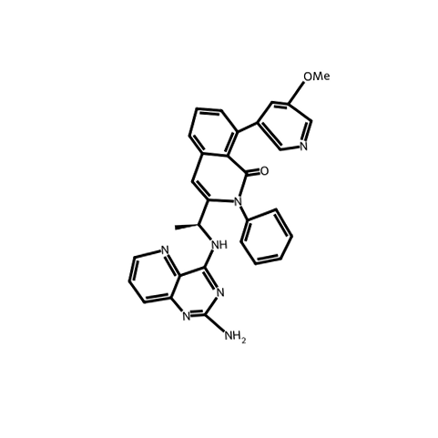 COc1cncc(-c2cccc3cc([C@H](C)Nc4nc(N)nc5cccnc45)n(-c4ccccc4)c(=O)c23)c1